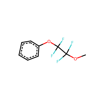 COC(F)(F)C(F)(F)Oc1ccccc1